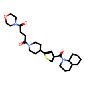 O=C(CCC(=O)N1CCC(C2=CC(C(=O)N3CCCC4CCCCC43)CS2)CC1)N1CCOCC1